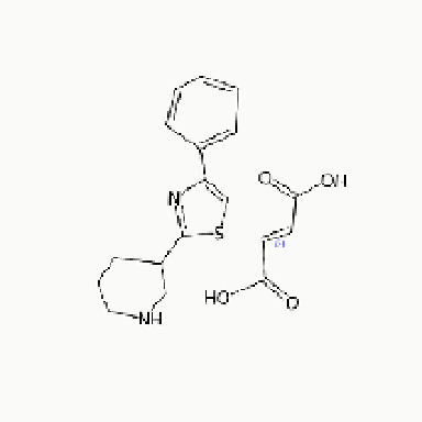 O=C(O)/C=C/C(=O)O.c1ccc(-c2csc(C3CCCNC3)n2)cc1